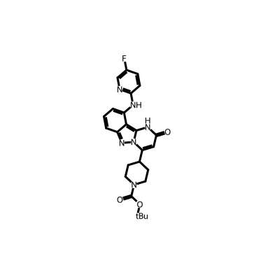 CC(C)(C)OC(=O)N1CCC(c2cc(=O)[nH]c3c4c(Nc5ccc(F)cn5)cccc4nn23)CC1